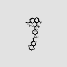 [2H]C(c1c(F)cnc2ccc(OC)nc12)[C@H](O)[C@@H]1CC[C@@H](NCc2cc3c(cn2)OCCO3)CO1